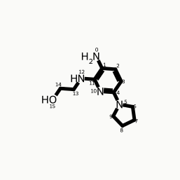 Nc1ccc(N2CCCC2)nc1NCCO